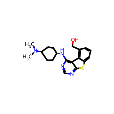 CN(C)[C@H]1CC[C@H](Nc2ncnc3sc4cccc(CO)c4c23)CC1